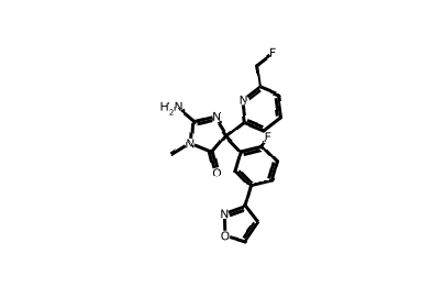 CN1C(=O)C(c2cccc(CF)n2)(c2cc(-c3ccon3)ccc2F)N=C1N